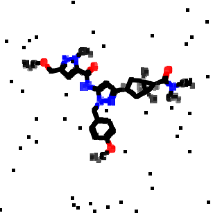 COCc1cc(C(=O)Nc2cc([C@H]3C[C@@H]4[C@H](C3)[C@@H]4C(=O)N(C)C)nn2Cc2ccc(OC)cc2)n(C)n1